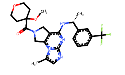 COC1(C(=O)N2Cc3c(N[C@H](C)c4cccc(C(F)(F)F)c4)nc4ncc(C)n4c3C2)CCOCC1